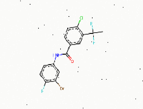 CC(F)(F)c1cc(C(=O)Nc2ccc(F)c(Br)c2)ccc1Cl